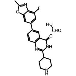 Cc1nc2c(F)cc(-c3ccc4nc(C5CCNCC5)[nH]c(=O)c4c3)cc2o1.O=CO